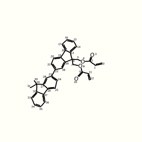 C=CC(=O)OCC1(COC(=O)C=C)c2ccccc2-c2ccc(-c3ccc4c(c3)C(C)(C)c3ccccc3-4)cc21